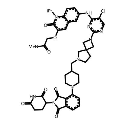 CNC(=O)COc1cc2cc(Nc3nc(N4CC5(CCN(CC6CCN(c7cccc8c7C(=O)N(C7CCC(=O)NC7=O)C8=O)CC6)C5)C4)ncc3Cl)ccc2n(C(C)C)c1=O